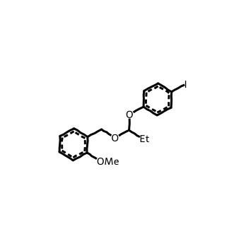 CCC(OCc1ccccc1OC)Oc1ccc(I)cc1